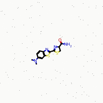 CN(C)c1ccc2nc(C3=NC(C(N)=O)CS3)sc2c1